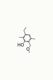 CCc1cc(C)c(COC)c(O)c1C